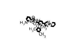 Cc1cc(C)c(Oc2nc(-c3cnc(N4CCCCC4)nc3)ccc2C(=O)NS(=O)(=O)c2cccc(N)n2)c(C)c1